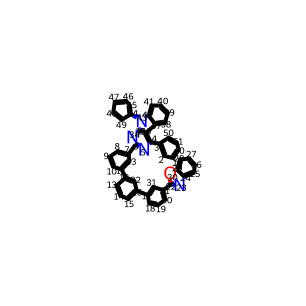 c1ccc(-c2nc(-c3cccc(-c4cccc(-c5cccc(-c6nc7ccccc7o6)c5)c4)c3)nc3c2c2ccccc2n3-c2ccccc2)cc1